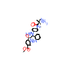 CCOC(=O)c1ccc2c(c1)NC(=C(Nc1ccc(N(C)C(=O)C(C)(C)CN)cc1)c1ccccc1)C2=O